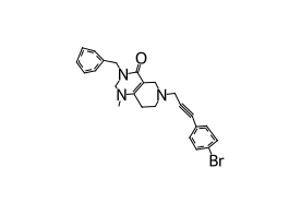 CN1CN(Cc2ccccc2)C(=O)C2=C1CCN(CC#Cc1ccc(Br)cc1)C2